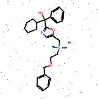 C[N+](C)(CCOCc1ccccc1)Cc1cnc(C(O)(c2ccccc2)C2CCCCC2)o1.[Br-]